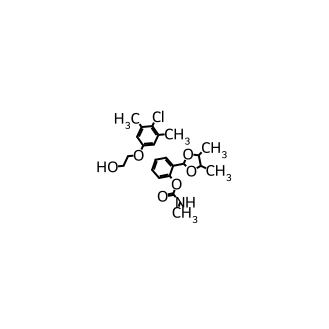 CNC(=O)Oc1ccccc1C1OC(C)C(C)O1.Cc1cc(OCCO)cc(C)c1Cl